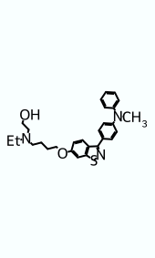 CCN(CCO)CCCCOc1ccc2c(-c3ccc(N(C)c4ccccc4)cc3)nsc2c1